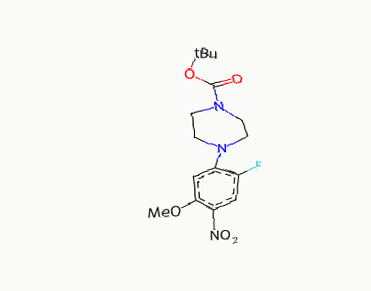 COc1cc(N2CCN(C(=O)OC(C)(C)C)CC2)c(F)cc1[N+](=O)[O-]